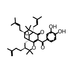 C=C(C)CC[C@H]1C[C@@]23C[C@@H](CC=C(C)C)C(C)(C)[C@@](CC=C(C)C)(C(=O)C(C(=O)c4ccc(O)c(O)c4)=C2OC1(C)C)C3=O